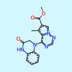 COC(=O)c1cn2ncnc(N3CC(=O)Nc4ccccc43)c2c1C